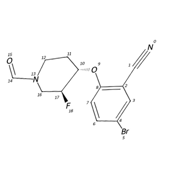 N#Cc1cc(Br)ccc1O[C@H]1CCN(C=O)C[C@@H]1F